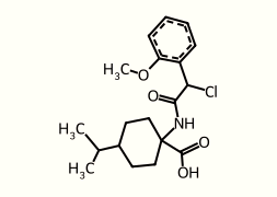 COc1ccccc1C(Cl)C(=O)NC1(C(=O)O)CCC(C(C)C)CC1